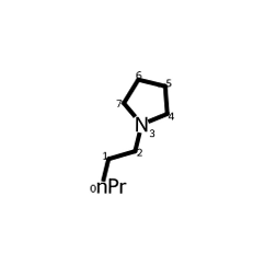 CCCCCN1C[CH]CC1